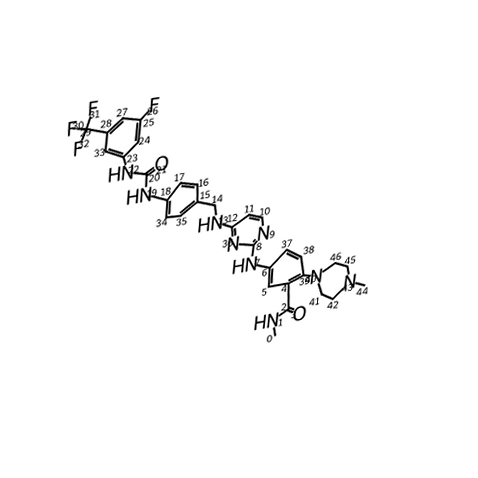 CNC(=O)c1cc(Nc2nccc(NCc3ccc(NC(=O)Nc4cc(F)cc(C(F)(F)F)c4)cc3)n2)ccc1N1CCN(C)CC1